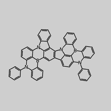 c1ccc(N2c3ccccc3B3c4c2cccc4-n2c4ccccc4c4c2c3cc2c3ccc5c6c3n(c24)-c2ccccc2B6c2ccccc2N5c2ccccc2)cc1